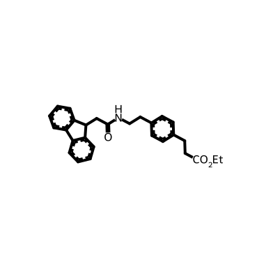 CCOC(=O)CCc1ccc(CCNC(=O)CC2c3ccccc3-c3ccccc32)cc1